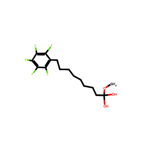 OC(O)(CCCCCCCCc1c(F)c(F)c(F)c(F)c1F)O[SiH3]